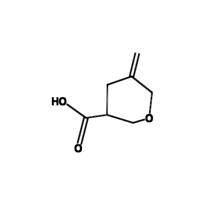 C=C1COCC(C(=O)O)C1